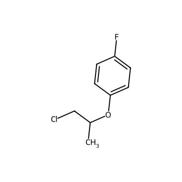 CC(CCl)Oc1ccc(F)cc1